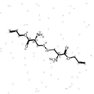 C=CCOC(=O)[C@@H](N)CSSC[C@H](N)C(=O)OCC=C